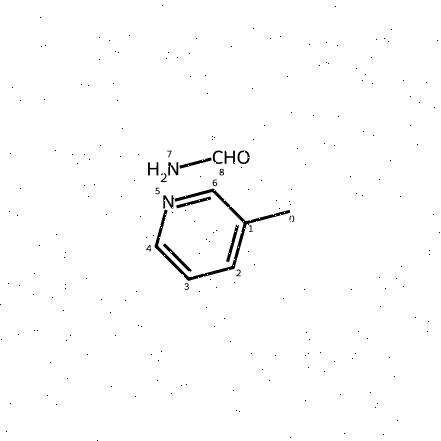 Cc1cccnc1.NC=O